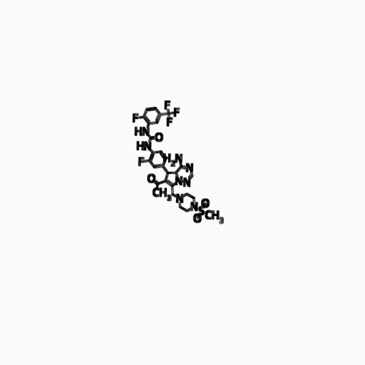 CC(=O)C1=C(CN2CCN(S(C)(=O)=O)CC2)N2N=CN=C(N)C2C1c1ccc(NC(=O)Nc2cc(C(F)(F)F)ccc2F)c(F)c1